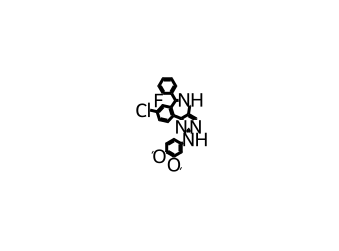 COc1ccc(Nc2ncc3c(n2)-c2ccc(Cl)cc2C(c2ccccc2F)NC3)cc1OC